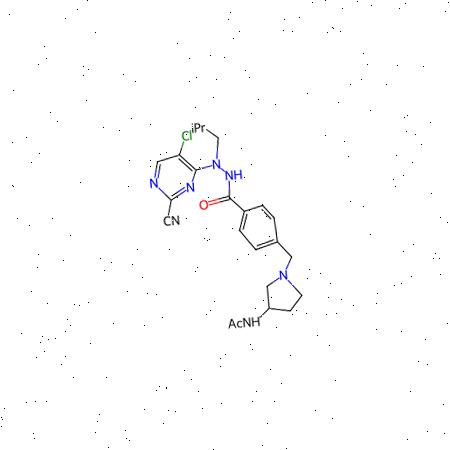 CC(=O)NC1CCN(Cc2ccc(C(=O)NN(CC(C)C)c3nc(C#N)ncc3Cl)cc2)C1